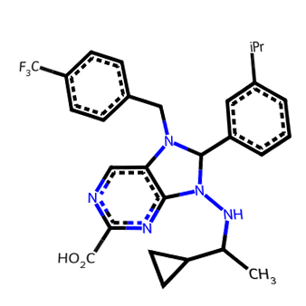 CC(C)c1cccc(C2N(Cc3ccc(C(F)(F)F)cc3)c3cnc(C(=O)O)nc3N2NC(C)C2CC2)c1